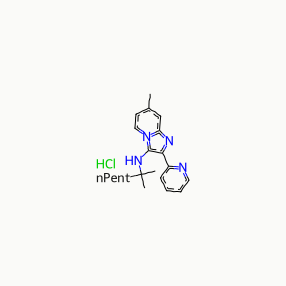 CCCCCC(C)(C)Nc1c(-c2ccccn2)nc2cc(C)ccn12.Cl